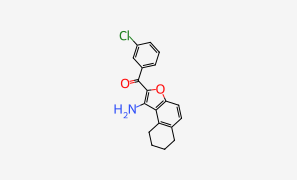 Nc1c(C(=O)c2cccc(Cl)c2)oc2ccc3c(c12)CCCC3